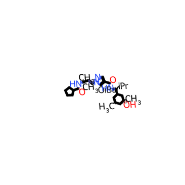 CC(C)COc1c(C(=O)N[C@@H](C(C)C)C2CC(C)C[C@@](C)(O)C2)cnn1/C=C/C(C)(C)NC(=O)C1CCCC1